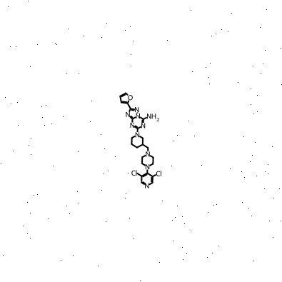 Nc1nc(N2CCCC(CN3CCN(c4c(Cl)cncc4Cl)CC3)C2)nc2nc(-c3ccco3)nn12